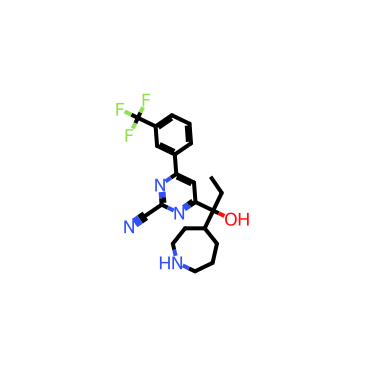 CCC(O)(c1cc(-c2cccc(C(F)(F)F)c2)nc(C#N)n1)C1CCCNCC1